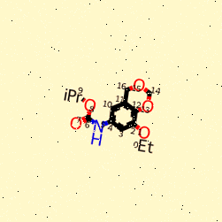 CCOc1cc(NC(=O)OC(C)C)cc2c1OCOC2